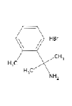 Br.Cc1ccccc1C(C)(C)N